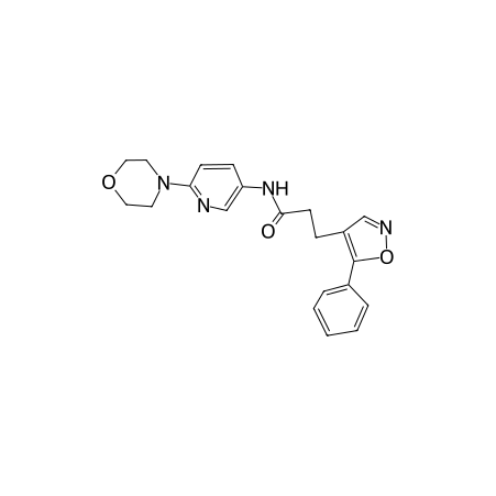 O=C(CCc1cnoc1-c1ccccc1)Nc1ccc(N2CCOCC2)nc1